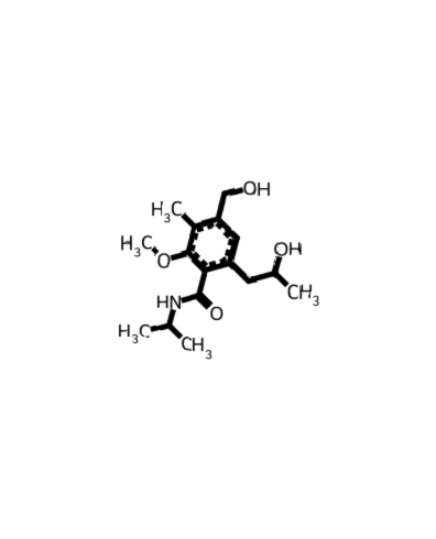 COc1c(C)c(CO)cc(CC(C)O)c1C(=O)NC(C)C